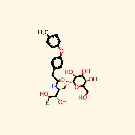 CC[C@@H](O)[C@@H](O)[C@H](CO[C@H]1OC(CO)[C@@H](O)C(O)[C@@H]1O)NC(=O)Cc1ccc(Oc2ccc(C)cc2)cc1